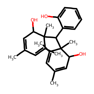 CC1=CC(O)C(C)(C(c2ccccc2O)C2(C)C(C)=CC(C)=CC2O)C(C)=C1